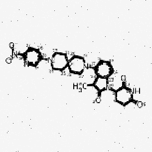 CC1C(=O)N(C2CCC(=O)NC2=O)c2cccc(N3CCC4(CCN(c5ccc([N+](=O)[O-])nc5)CC4)CC3)c21